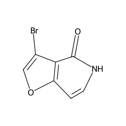 O=c1[nH]ccc2occ(Br)c12